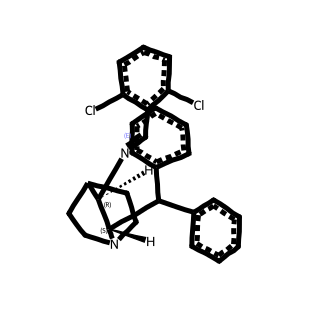 Clc1cccc(Cl)c1/C=N/[C@@H]1C2CCN(CC2)[C@H]1C(c1ccccc1)c1ccccc1